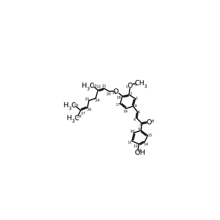 COc1cc(C=CC(=O)c2ccc(O)cc2)ccc1OCC=C(C)CCC=C(C)C